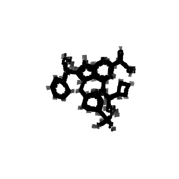 CC(Nc1nc(C(=O)O)nc2nc(N(C)c3ccccc3)n(Cc3ccc(C(F)(F)F)cc3)c12)C1CCC1